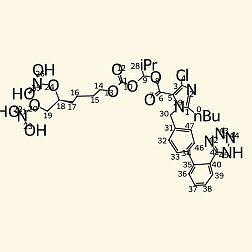 CCCCc1nc(Cl)c(C(=O)OC(OC(=O)OCCCC[C@@H](CON(O)O)ON(O)O)C(C)C)n1Cc1ccc(-c2ccccc2-c2nnn[nH]2)cc1